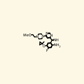 COCCN1CCN(c2cc(C(=N)c3cc(OC4(C)CC4)c(F)cc3N)ncn2)CC1